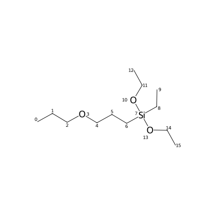 CCCOCCC[Si](CC)(OCC)OCC